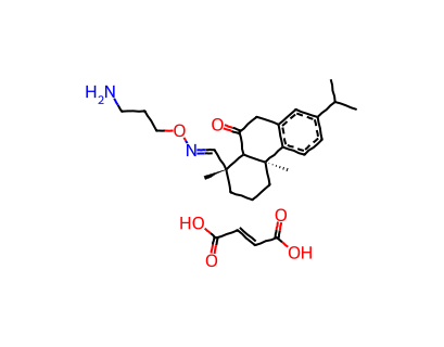 CC(C)c1ccc2c(c1)CC(=O)C1[C@@](C)(/C=N/OCCCN)CCC[C@]21C.O=C(O)/C=C/C(=O)O